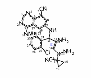 CNc1ncnc2c(C#N)cc(NC(/C(N)=C/N(N)C3(C#N)CC3)c3ccccc3Cl)cc12